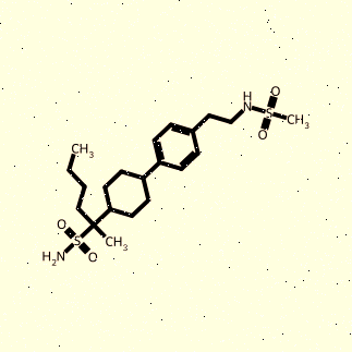 CCCCC(C)(C1CCC(c2ccc(CCNS(C)(=O)=O)cc2)CC1)S(N)(=O)=O